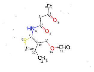 CCC(=O)CC(=O)Nc1scc(C)c1COC=O